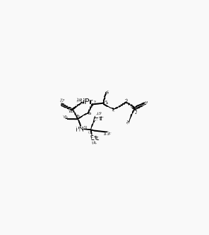 C=C(C)CCC(C)CCC(C)(NC(C)(CC)CC)C(=C)C(C)C